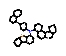 c1ccc2c(-c3ccc(N(c4cccc5c4ccc4ccc6ccccc6c45)c4cccc5c4sc4ccccc45)cc3)cccc2c1